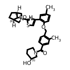 Cc1ccc(OCc2ccc(C(=O)N3CCC[C@H](O)C3)cc2C)c(-c2csc(N3C[C@@H]4CC[C@@H](C3)C4C(=O)O)n2)c1